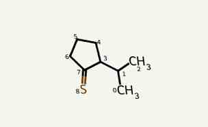 CC(C)C1CCCC1=S